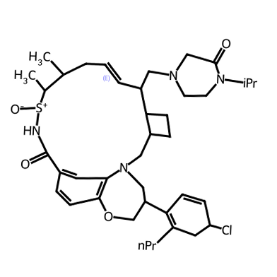 CCCC1=C(C2COc3ccc4cc3N(C2)CC2CCC2C(CN2CCN(C(C)C)C(=O)C2)/C=C/CC(C)C(C)[S+]([O-])NC4=O)C=CC(Cl)C1